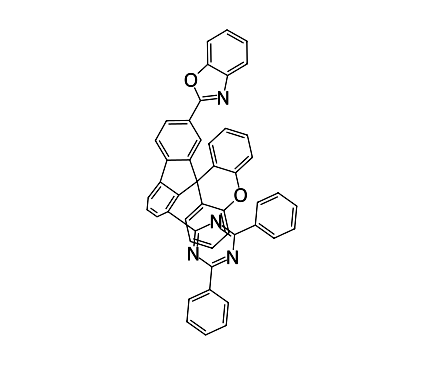 c1ccc(-c2nc(-c3ccccc3)nc(-c3cccc4c3C3(c5ccccc5Oc5ccccc53)c3cc(-c5nc6ccccc6o5)ccc3-4)n2)cc1